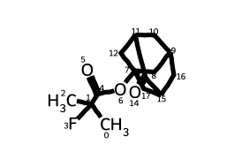 CC(C)(F)C(=O)OC12CC3CC(C1)C(=O)C(C3)C2